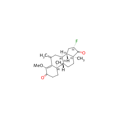 C=C1C[C@@H]2[C@H](CC[C@]3(C)C(=O)[C@@H](F)C[C@@H]23)[C@@]2(C)CCC(=O)C(OC)=C12